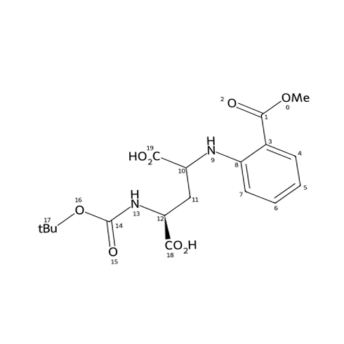 COC(=O)c1ccccc1NC(C[C@H](NC(=O)OC(C)(C)C)C(=O)O)C(=O)O